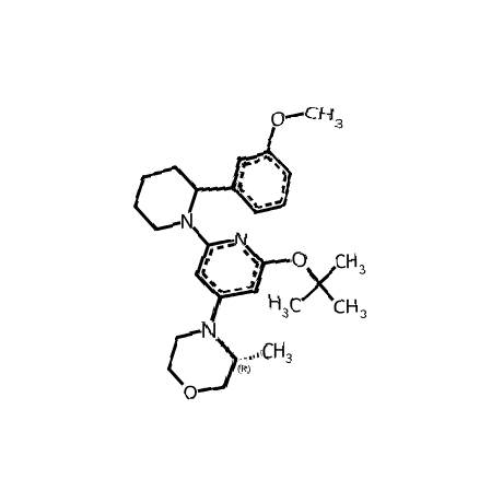 COc1cccc(C2CCCCN2c2cc(N3CCOC[C@H]3C)cc(OC(C)(C)C)n2)c1